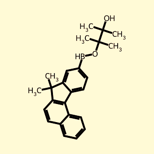 CC1(C)c2cc(BOC(C)(C)C(C)(C)O)ccc2-c2c1ccc1ccccc21